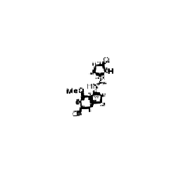 COc1nc(Cl)cc2c1[C@H](NC[C@@H]1CCC(=O)N1)CC2